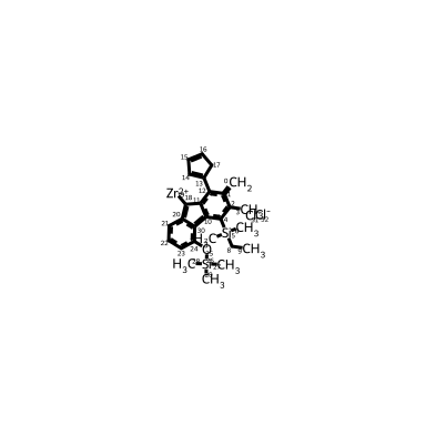 C=c1c(C)c([Si](C)(C)CC)c2c(c1C1=CC=CC1)[C]([Zr+2])=c1cccc(O[Si](C)(C)C)c1=2.[Cl-].[Cl-]